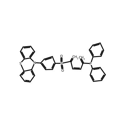 C=C(/C=C\C(=C)S(=O)(=O)c1ccc(N2c3ccccc3Sc3ccccc32)cc1)P(c1ccccc1)c1ccccc1